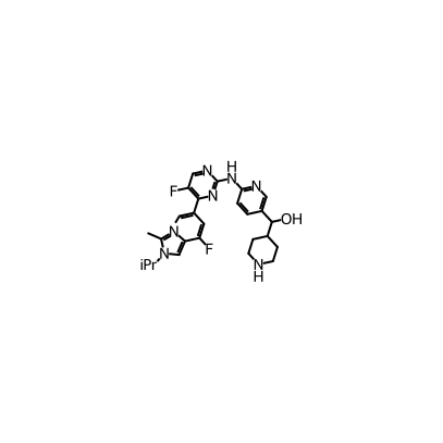 C/C=C(\C=C(\F)c1cn(C(C)C)c(C)n1)c1nc(Nc2ccc(C(O)C3CCNCC3)cn2)ncc1F